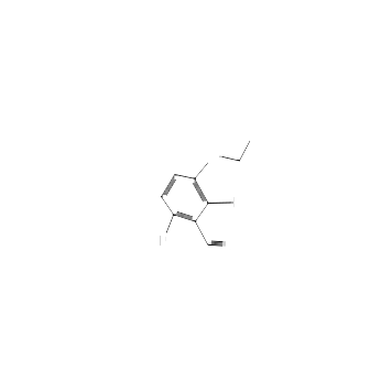 Bc1ccc(OCC)c(F)c1C=O